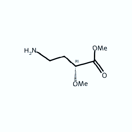 COC(=O)[C@@H](CCN)OC